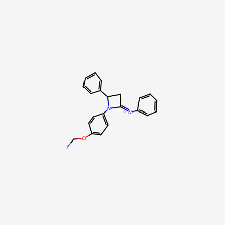 ICOc1ccc(N2/C(=N/c3ccccc3)CC2c2ccccc2)cc1